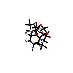 CC(C)(C)[Si](C)(C(C)(C)C)C1(B(F)F)C(F)=C(F)C(F)C(F)([Si](C)(C(C)(C)C)C(C)(C)C)C1(F)[Si](C)(C(C)(C)C)C(C)(C)C